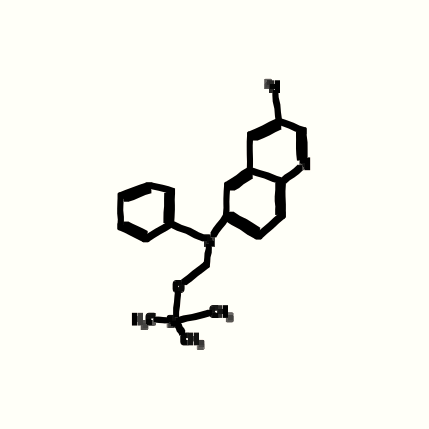 [2H]c1cnc2ccc(N(CO[Si](C)(C)C)c3ccccc3)cc2c1